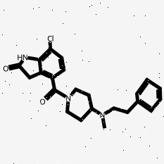 CN(CCc1ccccc1)C1CCN(C(=O)c2ccc(Cl)c3c2CC(=O)N3)CC1